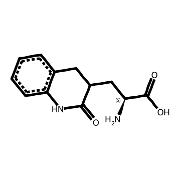 N[C@@H](CC1Cc2ccccc2NC1=O)C(=O)O